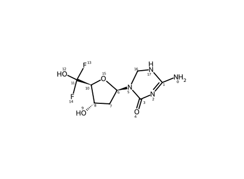 NC1=NC(=O)N([C@H]2C[C@H](O)[C@@H](C(O)(F)F)O2)CN1